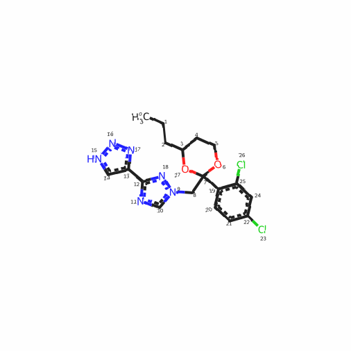 CCCC1CCOC(Cn2cnc(-c3c[nH]nn3)n2)(c2ccc(Cl)cc2Cl)O1